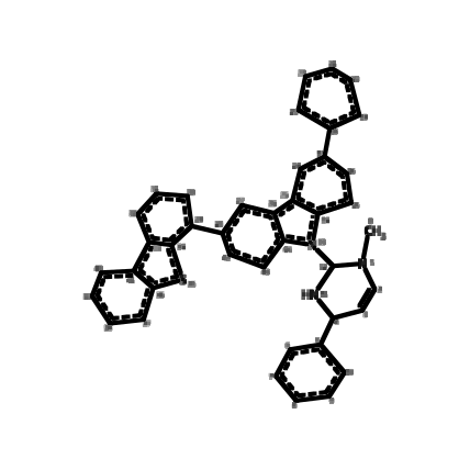 CN1C=CC(c2ccccc2)NC1n1c2ccc(-c3ccccc3)cc2c2cc(-c3cccc4c3sc3ccccc34)ccc21